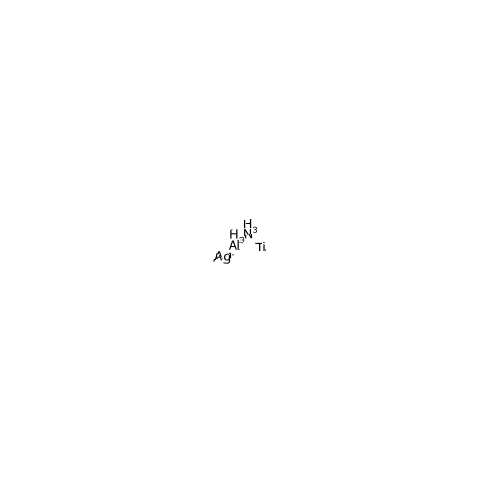 N.[Ag].[AlH3].[Ti]